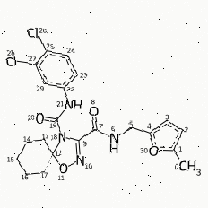 Cc1ccc(CNC(=O)C2=NOC3(CCCCC3)N2C(=O)Nc2ccc(Cl)c(Cl)c2)o1